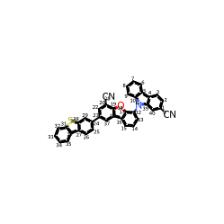 N#Cc1ccc2c3ccccc3n(-c3cccc4c3oc3c(C#N)cc(-c5ccc6c(c5)sc5ccccc56)cc34)c2c1